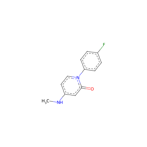 CNc1ccn(-c2ccc(F)cc2)c(=O)c1